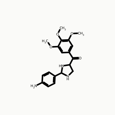 COc1cc(C(=O)C2CNC(c3ccc(N)cc3)N2)cc(OC)c1OC